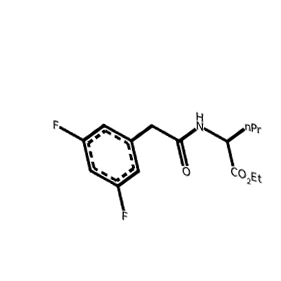 CCCC(NC(=O)Cc1cc(F)cc(F)c1)C(=O)OCC